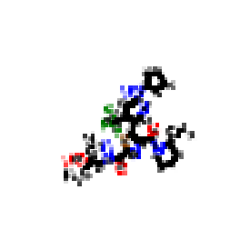 CC1CCCCN1C(=O)c1nc(C(=O)NCC(C)(C)O)sc1-c1cnc(NC2CCCC2)cc1C(F)(F)F